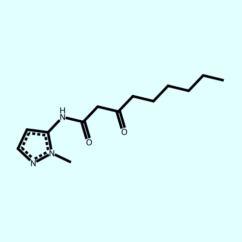 CCCCCCC(=O)CC(=O)Nc1ccnn1C